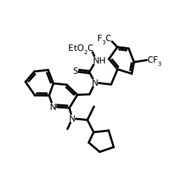 CCOC(=O)NC(=S)N(Cc1cc(C(F)(F)F)cc(C(F)(F)F)c1)Cc1cc2ccccc2nc1N(C)C(C)C1CCCC1